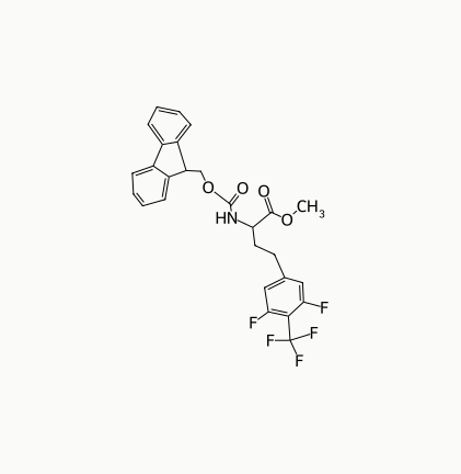 COC(=O)C(CCc1cc(F)c(C(F)(F)F)c(F)c1)NC(=O)OCC1c2ccccc2-c2ccccc21